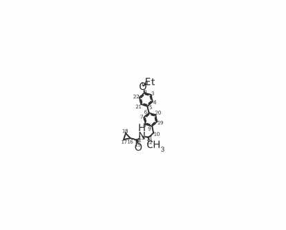 CCOc1ccc(-c2ccc(CC(C)NC(=O)C3CC3)cc2)cc1